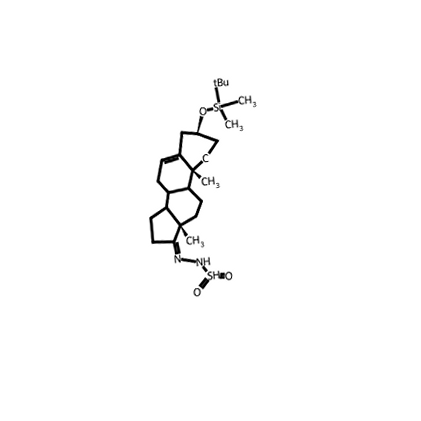 CC(C)(C)[Si](C)(C)O[C@H]1CC[C@@]2(C)C(=CCC3C2CC[C@]2(C)/C(=N\N[SH](=O)=O)CCC32)C1